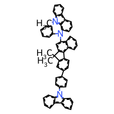 Cn1c2ccccc2c2cccc(N(c3ccccc3)c3cc4c(c5ccccc35)-c3ccc(-c5ccc(-n6c7ccccc7c7ccccc76)cc5)cc3C4(C)C)c21